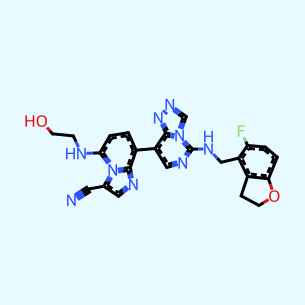 N#Cc1cnc2c(-c3cnc(NCc4c(F)ccc5c4CCO5)n4cnnc34)ccc(NCCO)n12